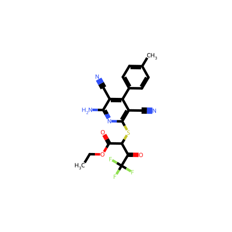 CCOC(=O)C(Sc1nc(N)c(C#N)c(-c2ccc(C)cc2)c1C#N)C(=O)C(F)(F)F